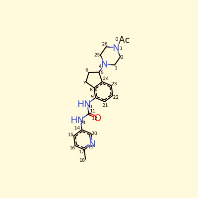 CC(=O)N1CCN(C2CCc3c(NC(=O)Nc4ccc(C)nc4)cccc32)CC1